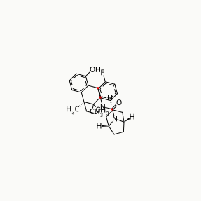 CC1(C)[C@H]2Cc3c(O)cccc3[C@]1(C)CCN2C(=O)N1[C@@H]2CC[C@H]1C[C@@H](c1ccc(F)cc1)C2